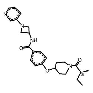 CC[C@H](C)C(=O)N1CCC(Oc2ccc(C(=O)NC3CN(c4cccnc4)C3)cc2)CC1